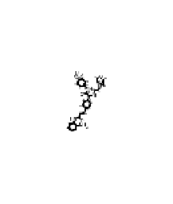 Nc1ccccc1NC(=O)/C=C/c1ccc([C@H](NCCN2CC3CC2CO3)C(=O)Nc2ccc(OC(F)(F)F)cc2)cc1